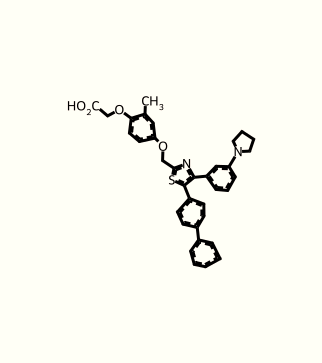 Cc1cc(OCc2nc(-c3cccc(N4CCCC4)c3)c(-c3ccc(-c4ccccc4)cc3)s2)ccc1OCC(=O)O